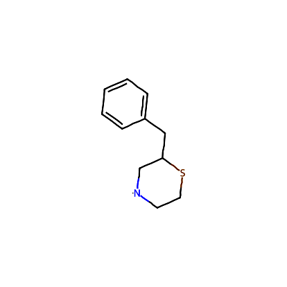 c1ccc(CC2C[N]CCS2)cc1